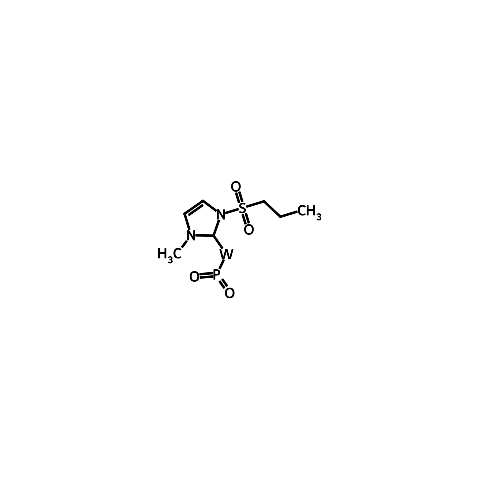 CCCS(=O)(=O)N1C=CN(C)[CH]1[W][P](=O)=O